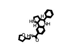 O=C(NCC1CCCO1)c1ccc2c(c1)[C@H]1NCC[C@H]1C(c1ccccc1)N2